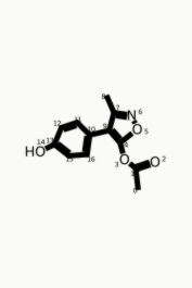 CC(=O)Oc1onc(C)c1-c1ccc(O)cc1